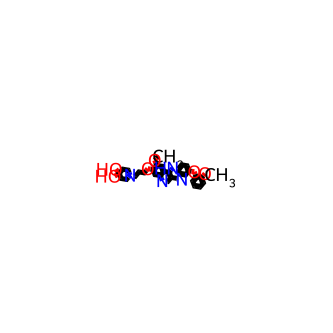 COc1cc2c(Nc3ccc(Oc4ccccc4OC)cc3)c(C#N)cnc2cc1OCCCN1CCC(O)(O)CC1